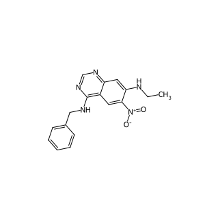 CCNc1cc2ncnc(NCc3ccccc3)c2cc1[N+](=O)[O-]